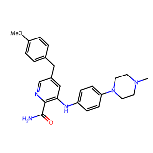 COc1ccc(Cc2cnc(C(N)=O)c(Nc3ccc(N4CCN(C)CC4)cc3)c2)cc1